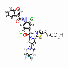 O=C(O)CCc1cnc([C@@H]2C[C@H](N3CCC(F)(F)CC3)CN2C(=O)Cc2cc(Cl)c(NC(=O)c3coc4ccccc34)cc2Cl)s1